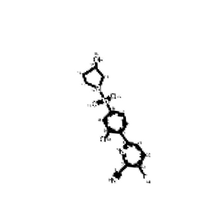 N#Cc1nc(-c2ccc(S(=O)(=O)N3CCC(O)C3)cc2Cl)ccc1F